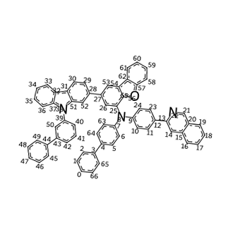 c1ccc(-c2ccc(N(c3ccc(-c4cc5ccccc5cn4)cc3)c3cc(-c4ccc5c6ccccc6n(-c6cccc(-c7ccccc7)c6)c5c4)cc4c3oc3ccccc34)cc2)cc1